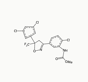 COC(=O)Nc1cc(C2=NOC(c3cc(Cl)cc(Cl)c3)(C(F)(F)F)C2)ccc1Cl